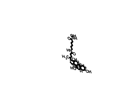 C[C@H](CCC(=O)NCCCCCC(=O)NO)[C@H]1CC[C@H]2[C@@H]3[C@@H](O)C[C@@H]4C[C@H](O)CC[C@]4(C)[C@H]3CC[C@]12C